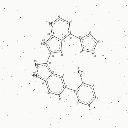 Cc1ccncc1-c1cc2c(-c3nc4c(-c5ccoc5)ccnc4[nH]3)n[nH]c2cn1